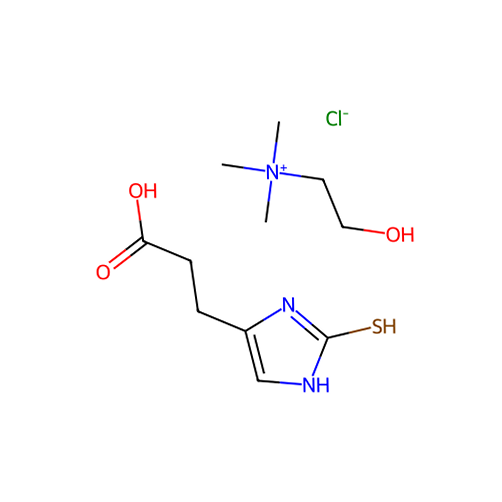 C[N+](C)(C)CCO.O=C(O)CCc1c[nH]c(S)n1.[Cl-]